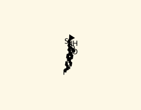 O=C1OC(CNC(=S)C2CC2)CN1c1ccc(N2CCN(CCF)CC2)cc1